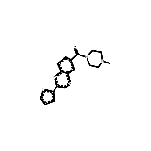 CN1CCN(C(=O)c2ccc3nc(-c4cccs4)cnc3c2)CC1